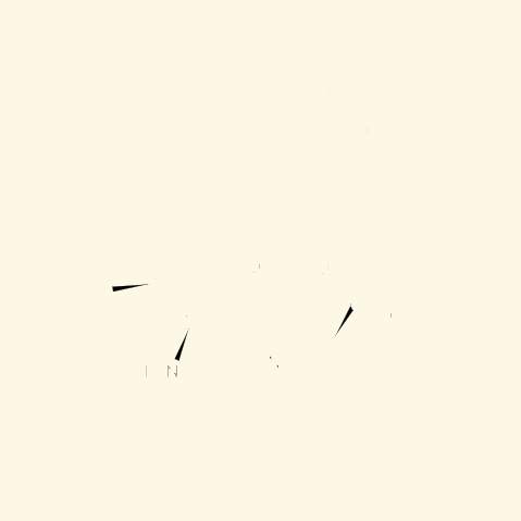 CC[C@H](C)[C@H](N)C(=O)N1CCC[C@@H]1C(=O)OCc1ccccc1